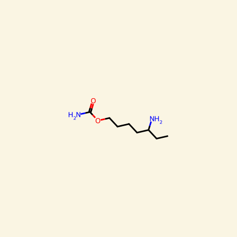 CCC(N)CCCCOC(N)=O